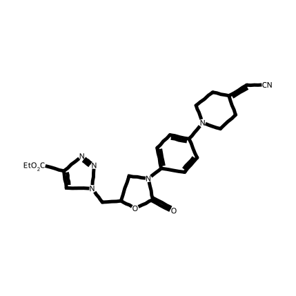 CCOC(=O)c1cn(CC2CN(c3ccc(N4CCC(=CC#N)CC4)cc3)C(=O)O2)nn1